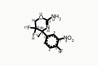 C[C@]1(c2ccc(F)c([N+](=O)[O-])c2)N=C(N)OCC1(F)F